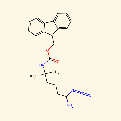 C[C@@](CCCC(N)N=[N+]=[N-])(NC(=O)OCC1c2ccccc2-c2ccccc21)C(=O)O